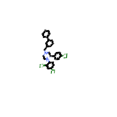 Clc1ccc(C2CN(Cc3cccc(-c4ccccc4)c3)CCN2c2ccc(Cl)cc2Cl)cc1